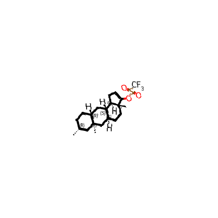 C[C@@H]1CC[C@@H]2C[C@H]3[C@@H](CC[C@@]4(C)C(OS(=O)(=O)C(F)(F)F)=CC[C@H]34)C[C@@]2(C)C1